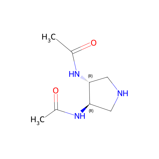 CC(=O)N[C@@H]1CNC[C@H]1NC(C)=O